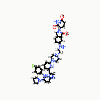 O=C1CCC(N2Cc3ccc(NCCN4CCN(c5cccc(-c6cnc7ccc(N8CCC[C@@H]8c8cccc(F)c8)nn67)n5)CC4)cc3C2=O)C(=O)N1